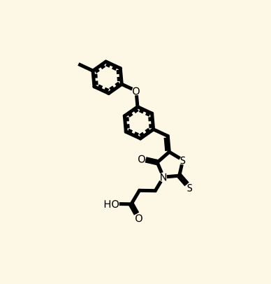 Cc1ccc(Oc2cccc(C=C3SC(=S)N(CCC(=O)O)C3=O)c2)cc1